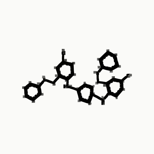 Clc1ccc(Nc2ccc(Nc3ccc(Cl)cc3CSc3ccccc3)cc2)c(CSc2ccccc2)c1